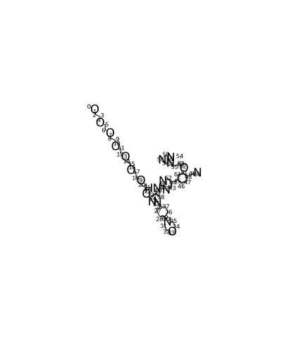 COCCOCCOCCOCCOCCOCCOCCOc1nn([C@H]2CC[C@H](N3CCOCC3)CC2)cc1Nc1ncc(-c2ccc(C#N)c(O[C@@H](C)Cn3cncn3)c2)cn1